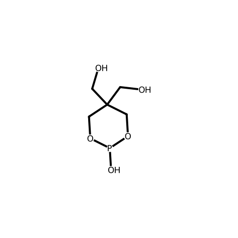 OCC1(CO)COP(O)OC1